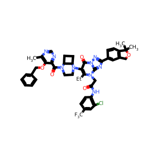 CCc1c(N2CCN(C(=O)c3ncnc(C)c3OCc3ccccc3)C3CCC32)c(=O)n2nc(-c3ccc4c(c3)COC4(C)C)nc2n1CC(=O)Nc1ccc(C(F)(F)F)cc1Cl